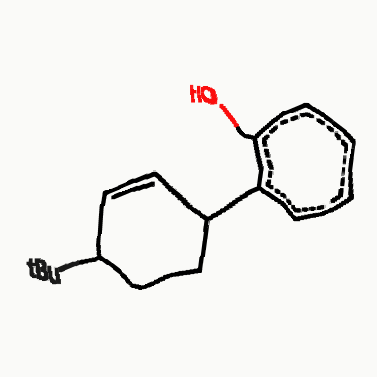 CC(C)(C)C1C=CC(c2ccccc2O)CC1